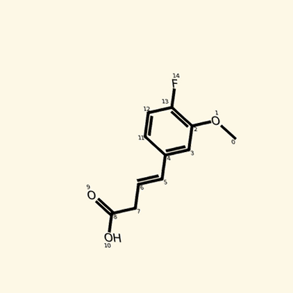 COc1cc(/C=C/CC(=O)O)ccc1F